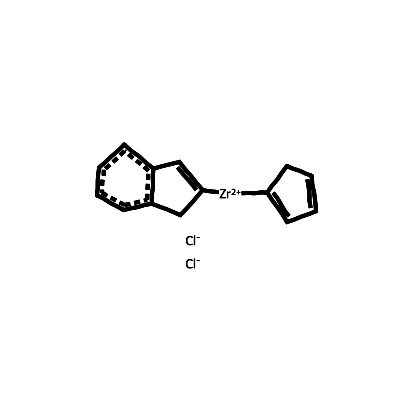 C1=CC[C]([Zr+2][C]2=Cc3ccccc3C2)=C1.[Cl-].[Cl-]